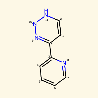 C1=CC(c2ccccn2)=N[N]N1